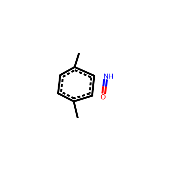 Cc1ccc(C)cc1.N=O